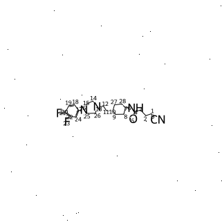 N#CCCCC(=O)N[C@H]1CC[C@H](CCN2CCN(c3ccc(F)c(F)c3)CC2)CC1